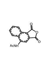 CC(=O)Nc1cc2c(c3ccccc13)C(=O)OC2=O